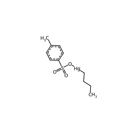 CCC[CH2][Hg][O]S(=O)(=O)c1ccc(C)cc1